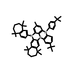 Cc1cc2c3c(c1)N(c1ccc4c(c1)C(C)(C)CCCC4(C)C)c1cc4c(cc1B3c1cc(C(C)(C)C)ccc1N2c1ccc(C(C)(C)C)cc1)C(C)(C)CCCC4(C)C